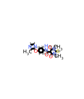 Cc1nccnc1Oc1ccc(NC(=O)C2C(=O)N(C)C(=S)N(C)C2=O)cc1